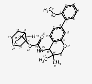 COc1ccccc1-c1ccc2c(c1)OCC(C)(C)C2NC(=O)O[C@H]1CN2CCC1CC2